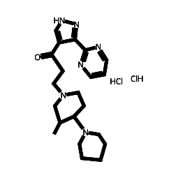 CC1CN(CCC(=O)c2c[nH]nc2-c2ncccn2)CCC1N1CCCCC1.Cl.Cl